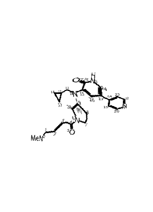 CNCC=CC(=O)N1CC[C@@H](N(CC2CC2)c2cc(-c3ccncc3)c[nH]c2=O)C1